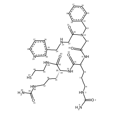 NC(=O)NCCCC(NC(=O)CN(Cc1ccccc1)C(=O)CNCc1cccnc1)C(=O)N[C@H](CCCNC(N)=O)C(=O)NCCS